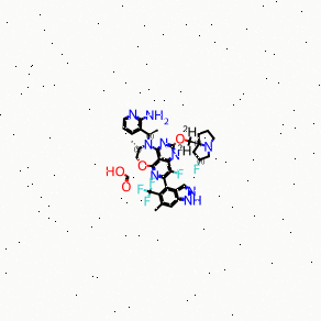 O=CO.[2H]C([2H])(Oc1nc2c3c(nc(-c4c(C(F)(F)F)c(C)cc5[nH]ncc45)c(F)c3n1)OC[C@H](C)N2[C@H](C)c1cccnc1N)[C@@]12CCCN1C[C@H](F)C2